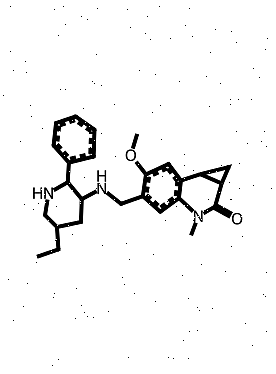 CCC1CNC(c2ccccc2)C(NCc2cc3c(cc2OC)C2CC2C(=O)N3C)C1